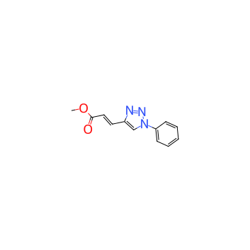 COC(=O)C=Cc1cn(-c2ccccc2)nn1